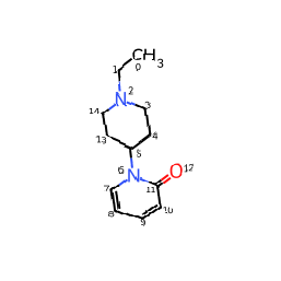 CCN1CCC(n2ccccc2=O)CC1